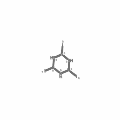 IN1BN(I)BN(I)B1